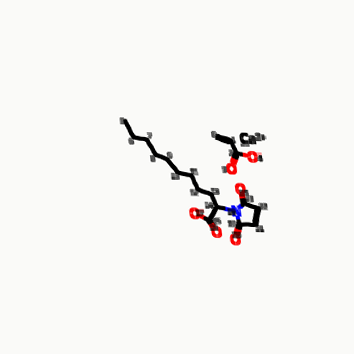 C=CC(=O)[O-].CCCCCCCCCC(C(=O)[O-])N1C(=O)C=CC1=O.[Ca+2]